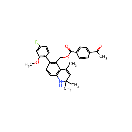 COc1cc(F)ccc1-c1ccc2c(c1COC(=O)c1ccc(C(C)=O)cc1)C(C)=CC(C)(C)N2